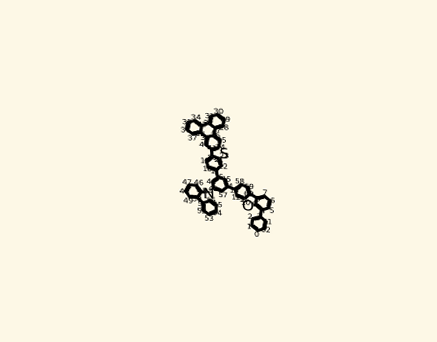 c1ccc(-c2cccc3c2oc2cc(-c4cc(-c5ccc6c(c5)sc5cc7c8ccccc8c8ccccc8c7cc56)cc(-n5c6ccccc6c6ccccc65)c4)ccc23)cc1